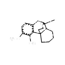 COc1ccc2c(c1O)C13CCCCC1C(C2)N(C)CC3